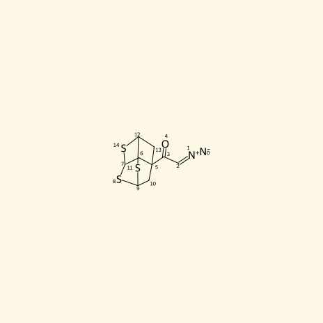 [N-]=[N+]=CC(=O)C12CC3SC(C1)SC(C2)S3